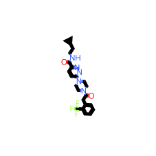 O=C(NCCC1CC1)c1ccc(N2CCN(C(=O)Cc3ccccc3C(F)(F)F)CC2)nn1